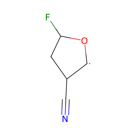 N#CC1[CH]OC(F)C1